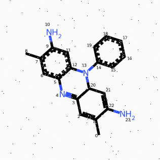 CC1=CC2=Nc3cc(C)c(N)cc3N(c3ccccc3)C2C=C1N